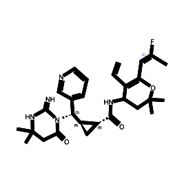 C=CC1=C(/C=C(\C)F)OC(C)(C)CC1NC(=O)[C@@H]1C[C@H]1[C@@H](c1cccnc1)N1C(=N)NC(C)(C)CC1=O